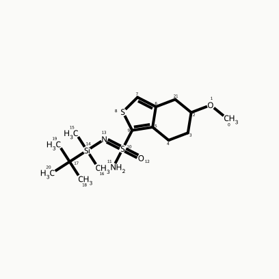 COC1CCc2c(csc2S(N)(=O)=N[Si](C)(C)C(C)(C)C)C1